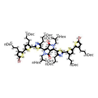 CCCCCCCCCCCCc1cc(Br)sc1-c1cc(CCCCCCCCCCCC)c(-c2nc(CCCCCCCCCCCC)c(C3=C4C(=O)N(CC(CCCCCC)CCCCCCCC)C(c5sc(-c6sc(-c7sc(Br)cc7CCCCCCCCCCCC)cc6CCCCCCCCCCCC)nc5CCCCCCCCCCCC)=C4C(=O)N3CC(CCCCCC)CCCCCCCC)s2)s1